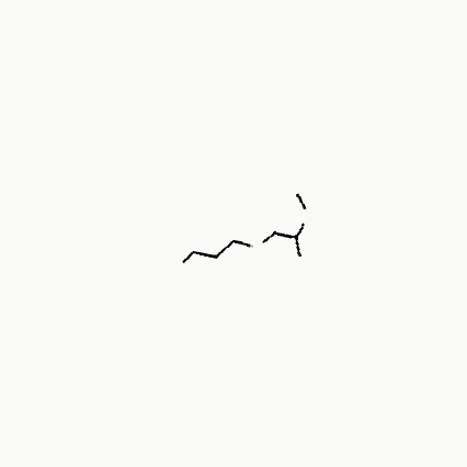 COC(C)COCCCO